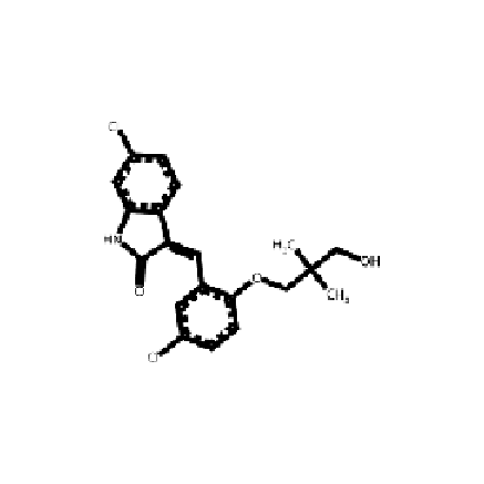 CC(C)(CO)COc1ccc(Cl)cc1C=C1C(=O)Nc2cc(Cl)ccc21